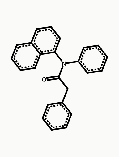 O=C(Cc1ccccc1)N(c1ccccc1)c1cccc2ccccc12